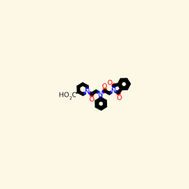 O=C(O)[C@H]1CCCN(C(=O)CN(C(=O)CN2C(=O)c3ccccc3C2=O)c2ccccc2)C1